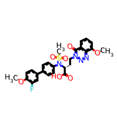 COc1ccc(-c2ccc(N([C@H](CCn3nnc4c(OC)cccc4c3=O)C(=O)O)S(C)(=O)=O)cc2)cc1F